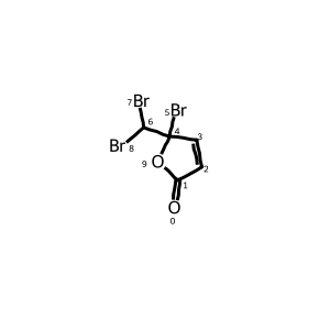 O=C1C=CC(Br)(C(Br)Br)O1